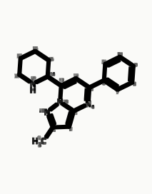 Cc1cc2nc(-c3ccccc3)cc(C3CCCCN3)n2n1